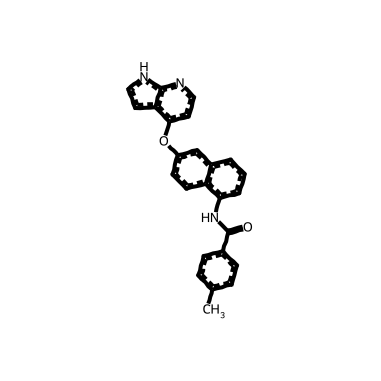 Cc1ccc(C(=O)Nc2cccc3cc(Oc4ccnc5[nH]ccc45)ccc23)cc1